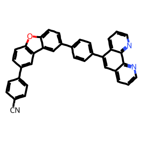 N#Cc1ccc(-c2ccc3oc4ccc(-c5ccc(-c6cc7cccnc7c7ncccc67)cc5)cc4c3c2)cc1